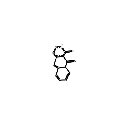 O=C1c2c(nn[nH]c2=O)C=C2C=CC=CC12